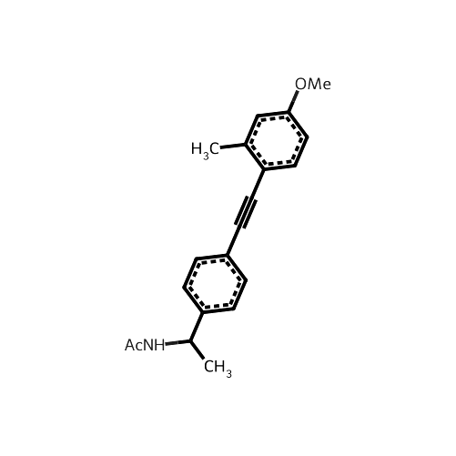 COc1ccc(C#Cc2ccc(C(C)NC(C)=O)cc2)c(C)c1